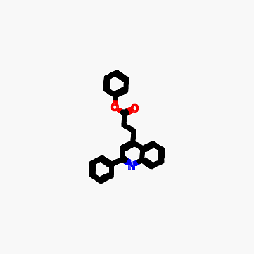 O=C(CCc1cc(-c2ccccc2)nc2ccccc12)Oc1ccccc1